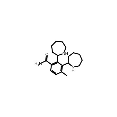 Cc1ccc(C(N)=O)c(C2CCCCCN2)c1C1CCCCCN1